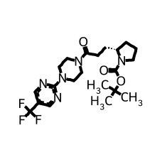 CC(C)(C)OC(=O)N1CCC[C@H]1CCC(=O)N1CCN(c2ncc(C(F)(F)F)cn2)CC1